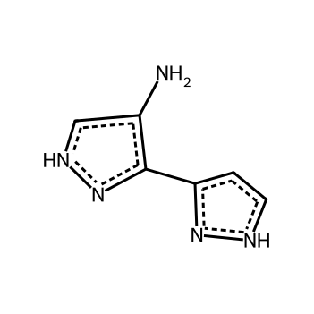 Nc1c[nH]nc1-c1cc[nH]n1